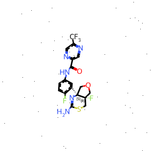 NC1=N[C@@]2(c3cc(NC(=O)c4cnc(C(F)(F)F)cn4)ccc3F)COC[C@@]2(F)CS1